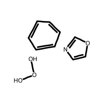 OOO.c1ccccc1.c1cocn1